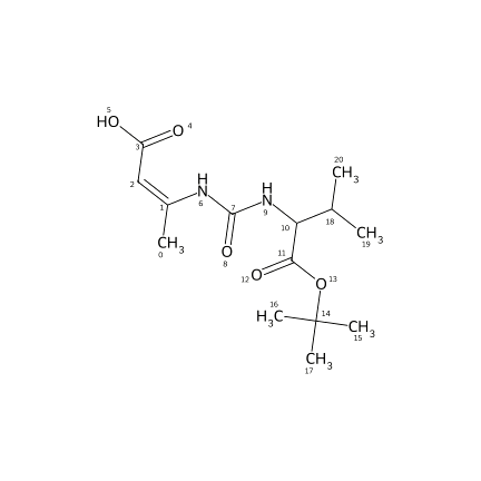 CC(=CC(=O)O)NC(=O)NC(C(=O)OC(C)(C)C)C(C)C